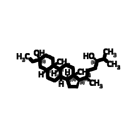 CC[C@]1(O)CC[C@@]2(C)[C@@H](CC[C@@H]3[C@@H]2CC[C@]2(C)[C@@H]([C@H](C)CC[C@H](O)C(C)C)CC[C@@H]32)C1